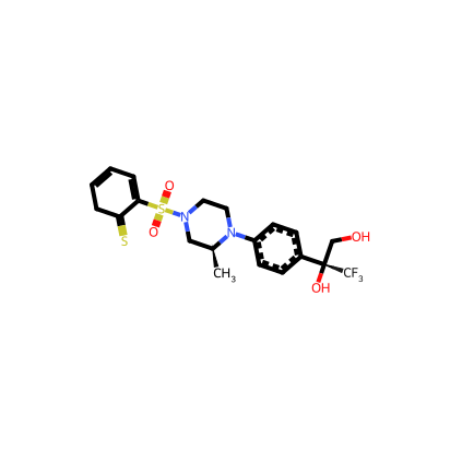 C[C@H]1CN(S(=O)(=O)C2=CC=CCC2=S)CCN1c1ccc([C@@](O)(CO)C(F)(F)F)cc1